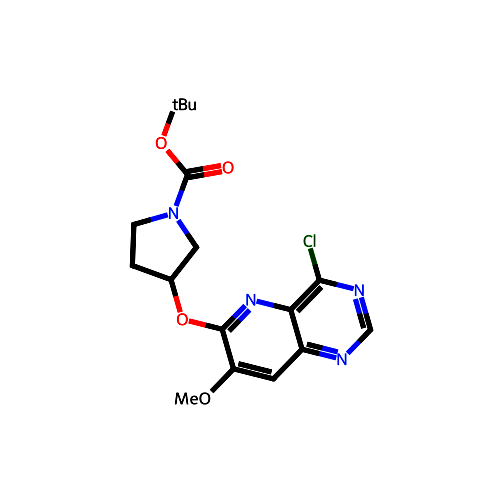 COc1cc2ncnc(Cl)c2nc1OC1CCN(C(=O)OC(C)(C)C)C1